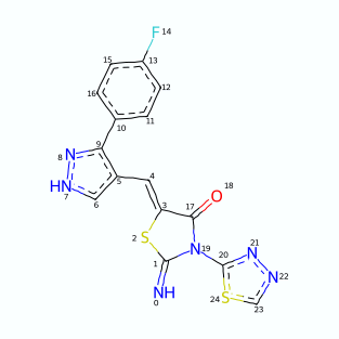 N=C1S/C(=C\c2c[nH]nc2-c2ccc(F)cc2)C(=O)N1c1nncs1